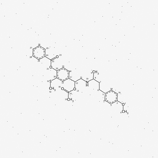 COc1ccc(CCC(C)NCC(OC(C)=O)c2ccc(OC(=O)c3ccccc3)c(SC)c2)cc1